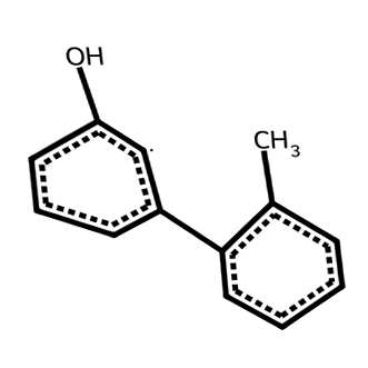 Cc1ccccc1-c1[c]c(O)ccc1